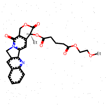 CCOCCOC(=O)CCCC(=O)O[C@]1(CC)C(=O)OCc2c1cc1n(c2=O)Cc2cc3ccccc3nc2-1